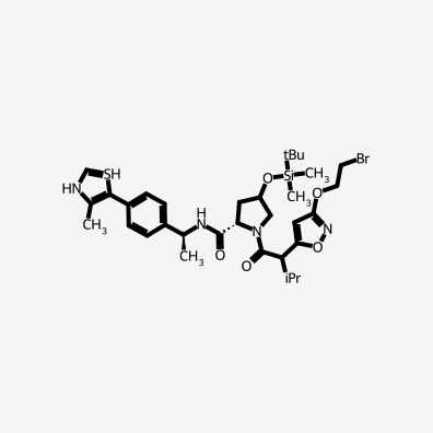 CC1=C(c2ccc([C@H](C)NC(=O)[C@@H]3CC(O[Si](C)(C)C(C)(C)C)CN3C(=O)C(c3cc(OCCBr)no3)C(C)C)cc2)[SH]=CN1